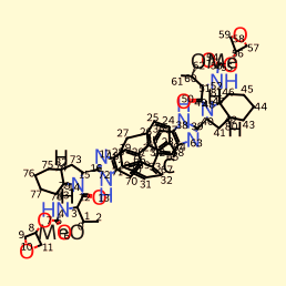 CO[C@H](C)C(NC(=O)OC1COC1)C(=O)N1[C@H](c2nc3cc(-c4cc5ccc4CCc4ccc(c(-c6ccc7[nH]c([C@@H]8C[C@@H]9CCCC[C@@H]9N8C(=O)[C@@H](NC(=O)OC8COC8)[C@@H](C)OC)nc7c6)c4)CC5)ccc3[nH]2)C[C@@H]2CCCC[C@@H]21